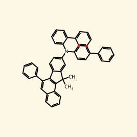 CC1(C)c2cc(N(c3ccc(-c4ccccc4)cc3)c3ccccc3-c3ccccc3)ccc2-c2c(-c3ccccc3)cc3ccccc3c21